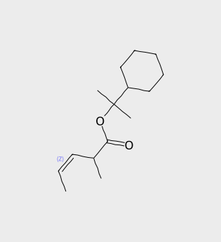 C/C=C\C(C)C(=O)OC(C)(C)C1CCCCC1